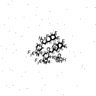 N[C@@H](CC(=O)N1CCn2c(nnc2C(F)(F)F)C1)Cc1cc(F)c(F)cc1F.N[C@@H](CC(=O)N1CCn2c(nnc2C(F)(F)F)C1)Cc1cc(F)c(F)cc1F.O=P(O)(O)O